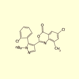 CCCCn1ncc(-c2nc3c(C)cc(Cl)cc3c(=O)o2)c1-c1ccccc1Cl